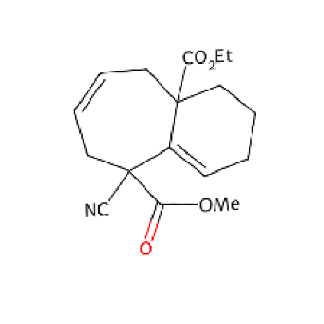 CCOC(=O)C12CC=CCC(C#N)(C(=O)OC)C1=CCCC2